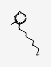 Cc1ccccc1CCCCCCBr